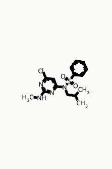 CNc1nc(Cl)cc(N(CC(C)C)S(=O)(=O)c2ccccc2)n1